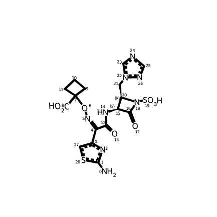 Nc1nc(C(=NOC2(C(=O)O)CCC2)C(=O)N[C@@H]2C(=O)N(S(=O)(=O)O)[C@@H]2Cn2cncn2)cs1